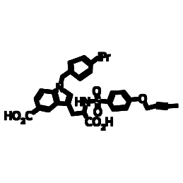 CC#CCOc1ccc(S(=O)(=O)NC(Cc2cn(Cc3ccc(C(C)C)cc3)c3ccc(C(=O)O)cc23)C(=O)O)cc1